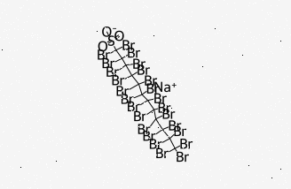 O=S(=O)([O-])C(Br)(Br)C(Br)(Br)C(Br)(Br)C(Br)(Br)C(Br)(Br)C(Br)(Br)C(Br)(Br)C(Br)(Br)C(Br)(Br)C(Br)(Br)C(Br)(Br)C(Br)(Br)Br.[Na+]